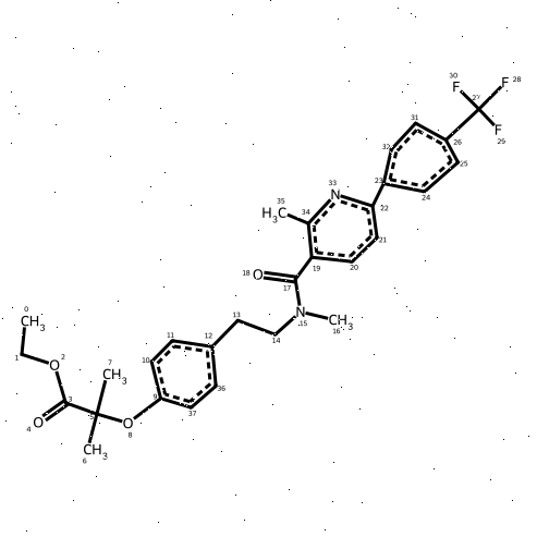 CCOC(=O)C(C)(C)Oc1ccc(CCN(C)C(=O)c2ccc(-c3ccc(C(F)(F)F)cc3)nc2C)cc1